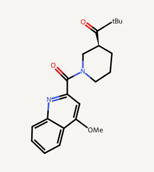 COc1cc(C(=O)N2CCC[C@H](C(=O)C(C)(C)C)C2)nc2ccccc12